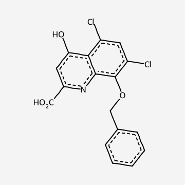 O=C(O)c1cc(O)c2c(Cl)cc(Cl)c(OCc3ccccc3)c2n1